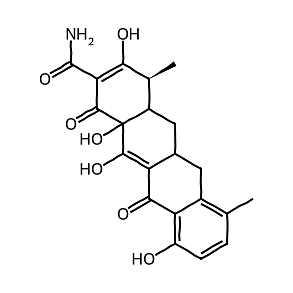 Cc1ccc(O)c2c1CC1CC3[C@H](C)C(O)=C(C(N)=O)C(=O)C3(O)C(O)=C1C2=O